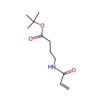 C=CC(=O)NCCCC(=O)OC(C)(C)C